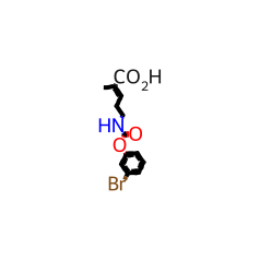 C/C(=C\CCNC(=O)Oc1cccc(Br)c1)C(=O)O